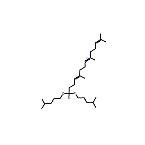 CC(C)=CCC/C(C)=C/CC/C(C)=C/CCC(C)(OCCCC(C)C)OCCCC(C)C